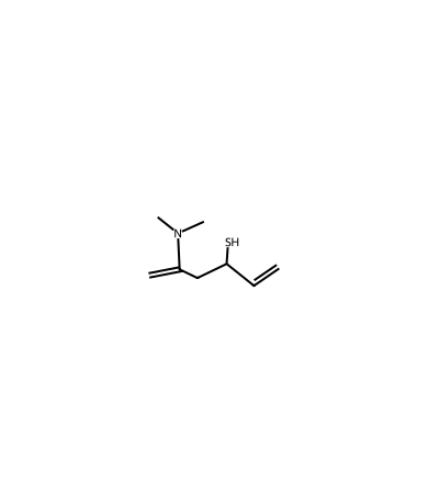 C=CC(S)CC(=C)N(C)C